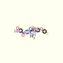 CC(C)(C(=O)Nc1ccc(Oc2ccc(F)cc2)cn1)N1CCN(C(=O)c2ccc(=O)[nH]c2)CC1